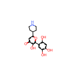 O=c1cc(C2CCNCC2)oc(-c2cc(O)c(O)cc2O)c1O